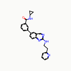 O=C(NC1CC1)c1cccc(-c2ccc3nc(NCCc4ccccn4)ncc3c2)c1